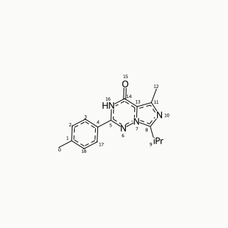 Cc1ccc(-c2nn3c(C(C)C)nc(C)c3c(=O)[nH]2)cc1